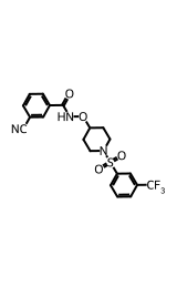 N#Cc1cccc(C(=O)NOC2CCN(S(=O)(=O)c3cccc(C(F)(F)F)c3)CC2)c1